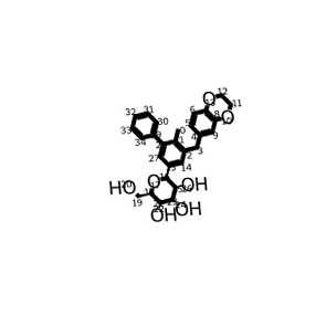 Cc1c(Cc2ccc3c(c2)OCCO3)cc([C@@H]2O[C@H](CO)[C@@H](O)[C@H](O)[C@H]2O)cc1-c1ccccc1